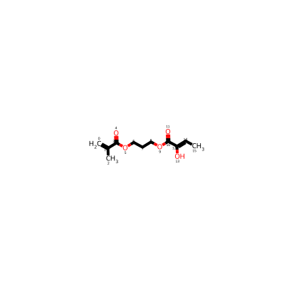 C=C(C)C(=O)OCCCOC(=O)C(O)=CC